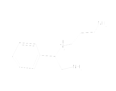 NCCCNC(CN)c1ccccc1